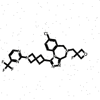 FC1(CN2Cc3cc(Cl)ccc3-n3c(nnc3C3CC4(C3)CN(c3nccc(C(F)(F)F)n3)C4)C2)COC1